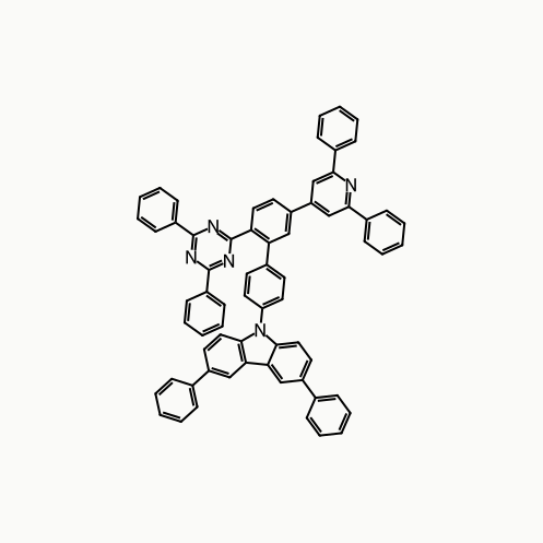 c1ccc(-c2ccc3c(c2)c2cc(-c4ccccc4)ccc2n3-c2ccc(-c3cc(-c4cc(-c5ccccc5)nc(-c5ccccc5)c4)ccc3-c3nc(-c4ccccc4)nc(-c4ccccc4)n3)cc2)cc1